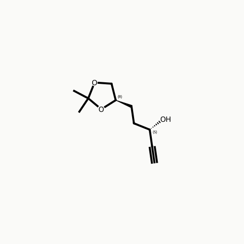 C#C[C@@H](O)CC[C@@H]1COC(C)(C)O1